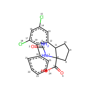 NC(=O)NC1(C(=O)O)CCCC1c1cc(Cl)cc(Cl)c1-c1ccccc1